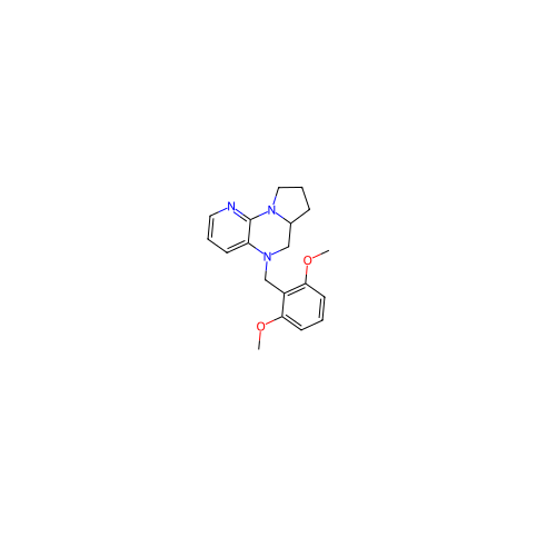 COc1cccc(OC)c1CN1CC2CCCN2c2ncccc21